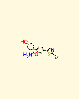 NC(=O)C1(c2ccc(-c3cnc(C4CC4)s3)cc2)CCC(O)CC1